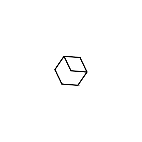 [CH]1CCC2CC1C2